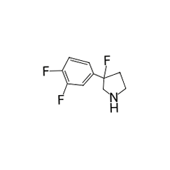 Fc1ccc(C2(F)CCNC2)cc1F